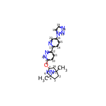 C[C@]12CC[C@](C)(CC(Oc3ccc(-c4ccc(-n5ccnn5)cn4)nn3)C1)N2